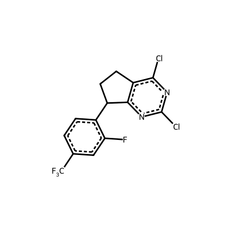 Fc1cc(C(F)(F)F)ccc1C1CCc2c(Cl)nc(Cl)nc21